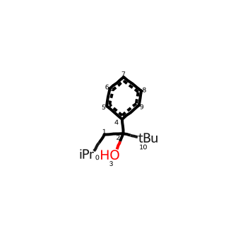 CC(C)CC(O)(c1ccccc1)C(C)(C)C